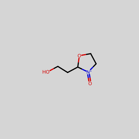 O=[N+]1CCOC1CCO